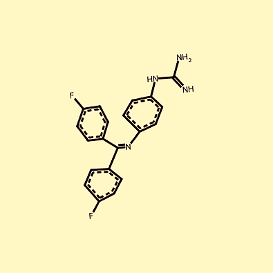 N=C(N)Nc1ccc(N=C(c2ccc(F)cc2)c2ccc(F)cc2)cc1